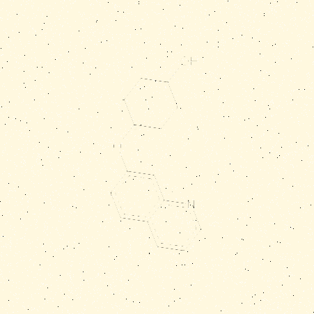 OC1CCC(Oc2[c]cc3cccnc3c2)CC1